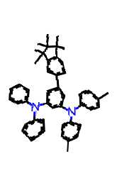 Cc1ccc(N(c2ccc(C)cc2)c2cc(-c3ccc4c(c3)C(C)(C)C(C)(C)C4(C)C)cc(N(c3ccccc3)c3ccccc3)c2)cc1